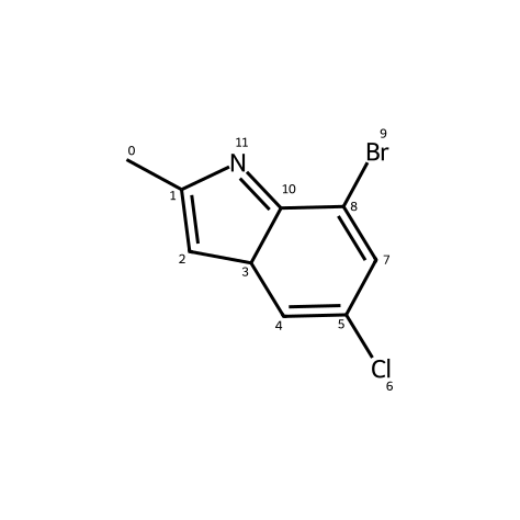 CC1=CC2C=C(Cl)C=C(Br)C2=N1